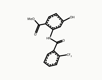 COC(=O)c1ccc(O)cc1NC(=O)c1ccccc1C(F)(F)F